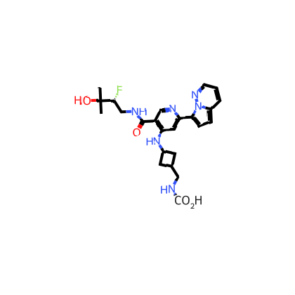 CC(C)(O)[C@H](F)CNC(=O)c1cnc(-c2ccc3cccnn23)cc1NC1CC(CNC(=O)O)C1